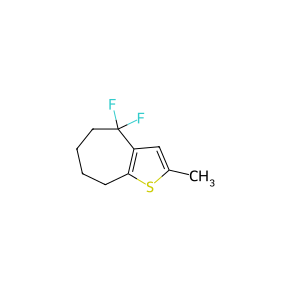 Cc1cc2c(s1)CCCCC2(F)F